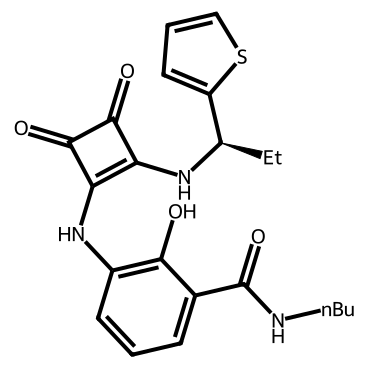 CCCCNC(=O)c1cccc(Nc2c(N[C@H](CC)c3cccs3)c(=O)c2=O)c1O